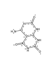 Nc1cc(=O)[nH]c2[nH]c(=O)[nH]c(=O)c12